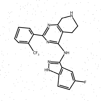 Fc1ccc2[nH]nc(Nc3nc(-c4ccccc4C(F)(F)F)nc4c3CCNC4)c2c1